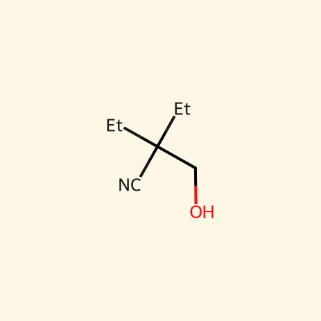 CCC(C#N)(CC)CO